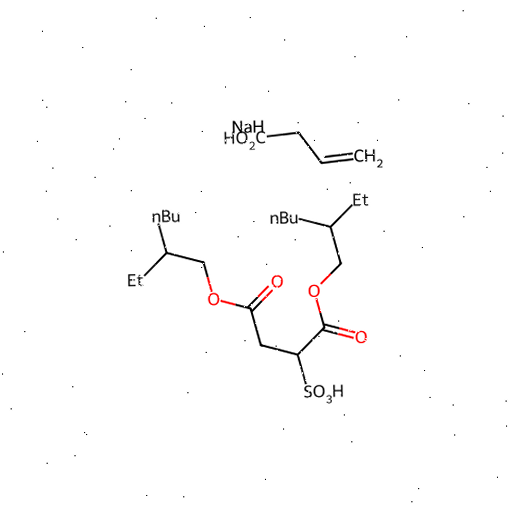 C=CCC(=O)O.CCCCC(CC)COC(=O)CC(C(=O)OCC(CC)CCCC)S(=O)(=O)O.[NaH]